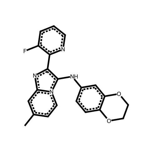 Cc1ccn2c(Nc3ccc4c(c3)OCCO4)c(-c3ncccc3F)nc2c1